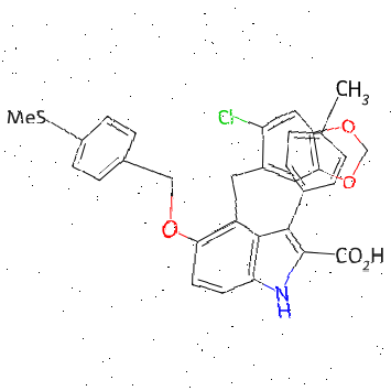 CSc1ccc(COc2ccc3[nH]c(C(=O)O)c(-c4ccc(C)cc4)c3c2Cc2cc3c(cc2Cl)OCO3)cc1